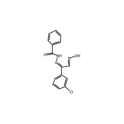 O=C(NN=C(C=NO)c1cccc(Cl)c1)c1ccccc1